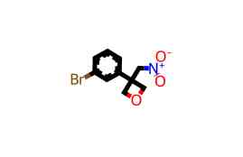 O=[N+]([O-])CC1(c2cccc(Br)c2)COC1